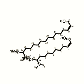 CCCCCCCC/C=C\CCCCCCCC(CCCCCCC)N(C)C.CCCCCCCC/C=C\CCCCCCCCCCCC(CCCCCCCCC)N(C)C